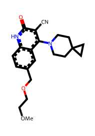 COCCOCc1ccc2[nH]c(=O)c(C#N)c(N3CCC4(CC3)CC4)c2c1